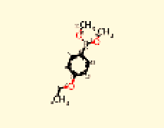 CCOc1ccc(B(OC)OC)cc1